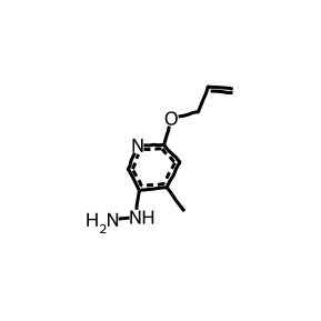 C=CCOc1cc(C)c(NN)cn1